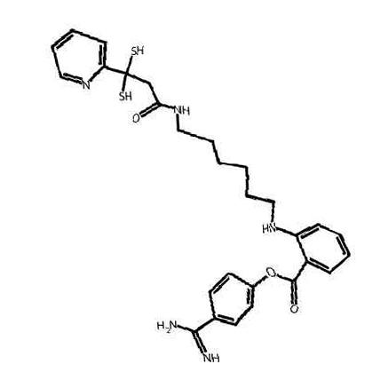 N=C(N)c1ccc(OC(=O)c2ccccc2NCCCCCCNC(=O)CC(S)(S)c2ccccn2)cc1